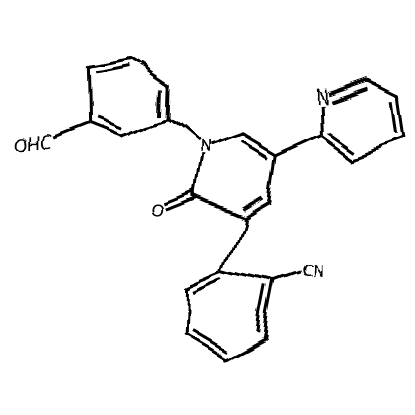 N#Cc1ccccc1-c1cc(-c2ccccn2)cn(-c2cccc(C=O)c2)c1=O